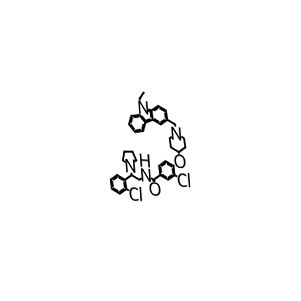 CCn1c2ccccc2c2cc(CN3CCC(Oc4ccc(C(=O)NCC(c5ccccc5Cl)N5CCCC5)cc4Cl)CC3)ccc21